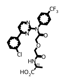 C[C@H](NC(=O)COCC(=O)N(c1ccc(C(F)(F)F)cc1)c1nccc(-c2cccc(Cl)c2)n1)C(=O)O